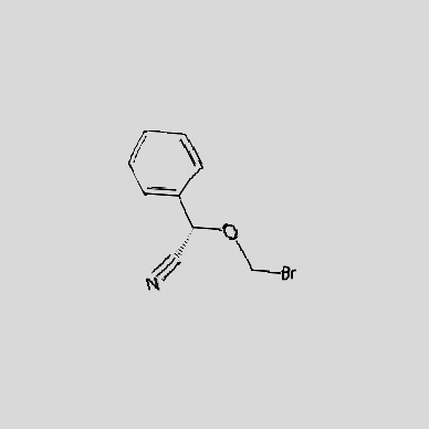 N#C[C@@H](OCBr)c1ccccc1